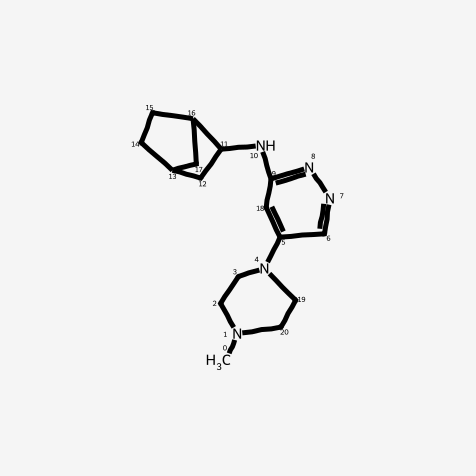 CN1CCN(c2cnnc(NC3CC4CCC3C4)c2)CC1